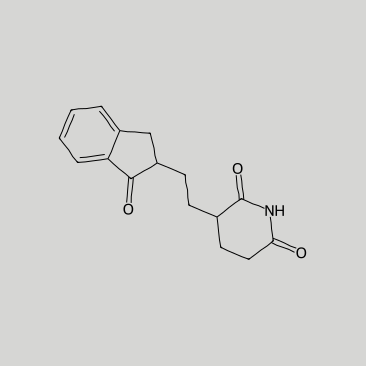 O=C1CCC(CCC2Cc3ccccc3C2=O)C(=O)N1